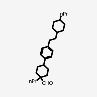 CCCC1CCC(CCc2ccc(C3CCC(C=O)(CCC)CC3)cc2)CC1